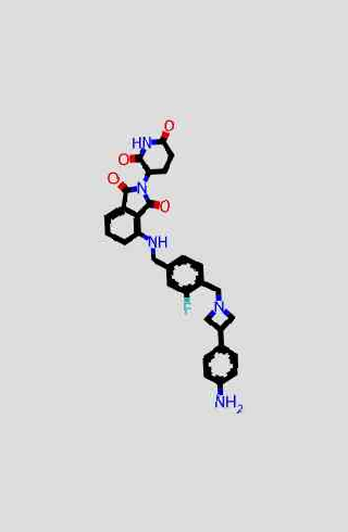 Nc1ccc(C2CN(Cc3ccc(CNC4=C5C(=O)N(C6CCC(=O)NC6=O)C(=O)C5=CCC4)cc3F)C2)cc1